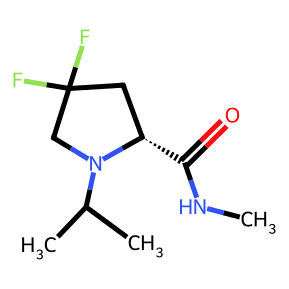 CNC(=O)[C@H]1CC(F)(F)CN1C(C)C